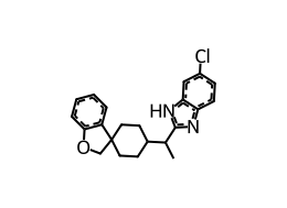 CC(c1nc2ccc(Cl)cc2[nH]1)C1CCC2(CC1)COc1ccccc12